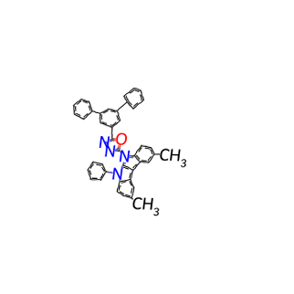 Cc1ccc2c(c1)c1c3cc(C)ccc3n(-c3nnc(-c4cc(-c5ccccc5)cc(-c5ccccc5)c4)o3)c1n2-c1ccccc1